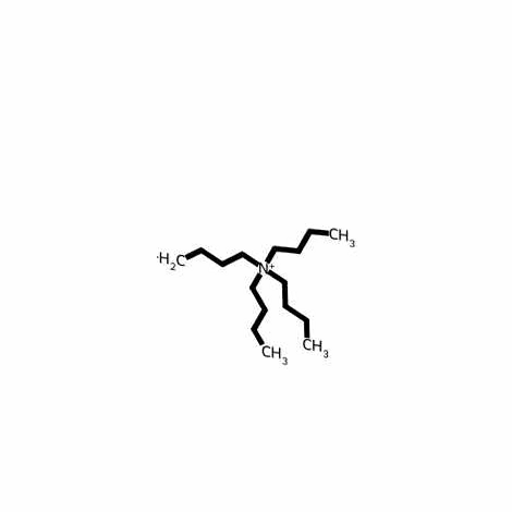 [CH2]CCC[N+](CCCC)(CCCC)CCCC